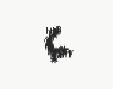 CC(C)n1cnc2cc(-c3ccc4c(c3)N([C@H]3C[C@@H](N5CCCCC5)C3)C(=O)C43CCN(C(=O)C4(F)CCN(C(=O)C5CCN(c6ccc(C7CCC(=O)NC7=O)cn6)CC5)CC4)CC3)nc(NC3CC3)c21